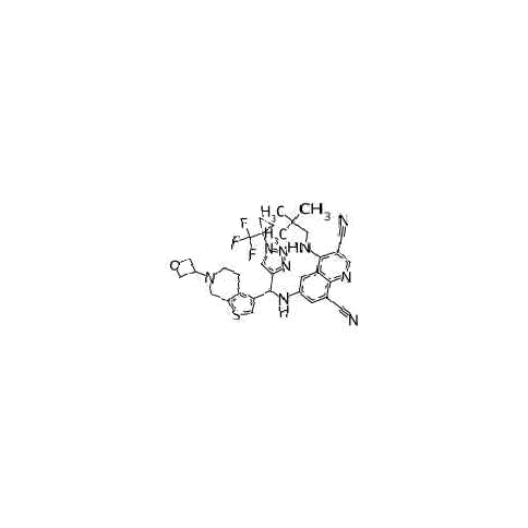 CC(C)(C)CNc1c(C#N)cnc2c(C#N)cc(NC(c3cn(C4(C(F)(F)F)CC4)nn3)c3csc4c3CCN(C3COC3)C4)cc12